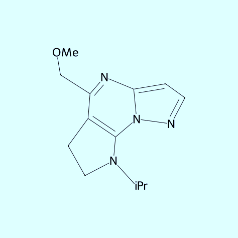 COCc1nc2ccnn2c2c1CCN2C(C)C